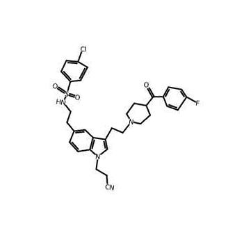 N#CCCn1cc(CCN2CCC(C(=O)c3ccc(F)cc3)CC2)c2cc(CCNS(=O)(=O)c3ccc(Cl)cc3)ccc21